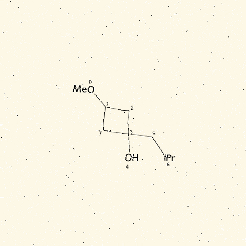 COC1CC(O)(CC(C)C)C1